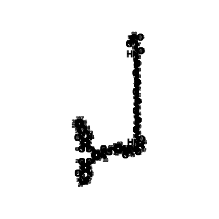 COc1cc2c(cc1OCc1cc(COc3cc4c(cc3OC)C(=O)N3CCC[C@@]3(C)C=N4)cc(N(C)C(=O)OCc3ccc(NC(=O)[C@H](C)NC(=O)[C@@H](NC(=O)CCOCCOCCOCCOCCOCCOCCOCCOCCNC(=O)CCN4C(=O)C=CC4=O)C(C)C)cc3)c1)N=CC1Cc3ccccc3CN1C2=O